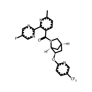 Cc1ccc(C(=O)N2C[C@H]3C[C@@H](Oc4ccc(C(F)(F)F)cn4)[C@@H]2C3)c(-c2ncc(F)cn2)n1